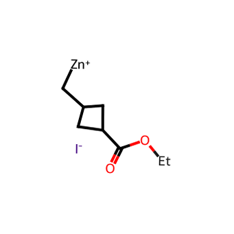 CCOC(=O)C1CC([CH2][Zn+])C1.[I-]